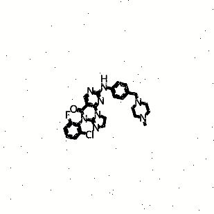 CN1CCN(Cc2ccc(Nc3ncc4c(n3)N3CCN=C3N(c3c(F)cccc3Cl)C4=O)cc2)CC1